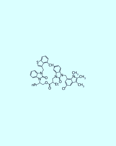 CCCC(COC(=O)C(CC)Cn1c(=O)n(Cc2cc(Cl)cc3c(C)c(C)n(C)c23)c2ccccc21)n1c(=O)n(Cc2csc3cccc(C)c23)c2ccccc21